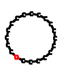 C1CCCCCCCCCOCCCCCCCCC1